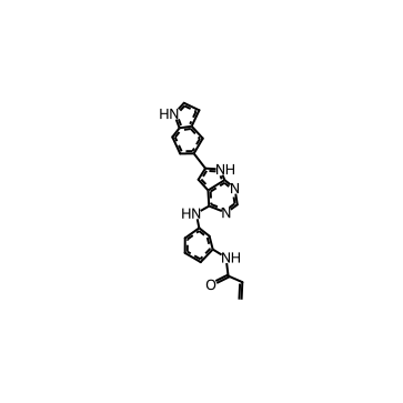 C=CC(=O)Nc1cccc(Nc2ncnc3[nH]c(-c4ccc5[nH]ccc5c4)cc23)c1